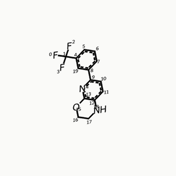 FC(F)(F)c1cccc(-c2ccc3c(n2)OCCN3)c1